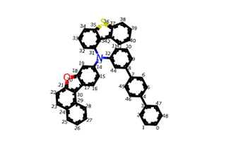 c1ccc(-c2ccc(-c3cccc(N(c4ccc5c(c4)oc4ccc6ccccc6c45)c4cccc5sc6ccccc6c45)c3)cc2)cc1